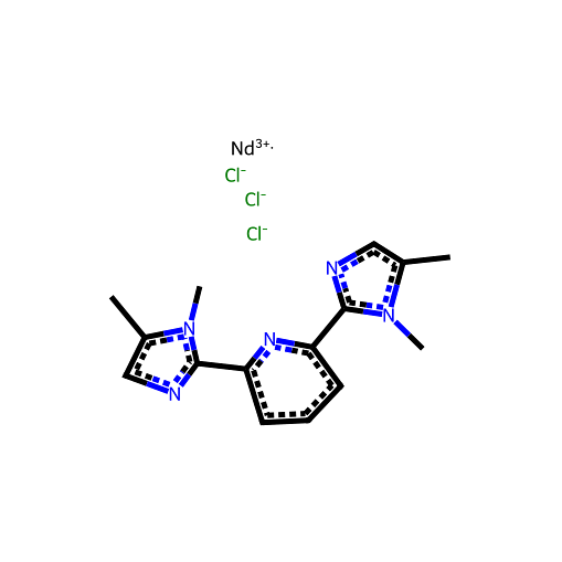 Cc1cnc(-c2cccc(-c3ncc(C)n3C)n2)n1C.[Cl-].[Cl-].[Cl-].[Nd+3]